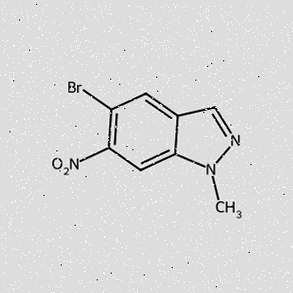 Cn1ncc2cc(Br)c([N+](=O)[O-])cc21